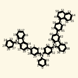 c1ccc(N(c2ccc(-c3ccc4c(c3)c3ccccc3n4-c3ccccc3)cc2)c2ccc(-n3c4ccccc4c4cc(-c5ccc(-c6cccc7ccccc67)cc5)ccc43)cc2)cc1